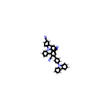 N#Cc1cc(-c2ccc(-n3c4ccccc4c4ccccc43)cc2)c(C#N)c(-c2ccccc2-n2c3ccccc3c3cc(C#N)ccc32)c1